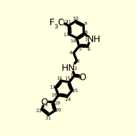 O=C(NCCc1c[nH]c2ccc(C(F)(F)F)cc12)c1ccc(-c2ccco2)cc1